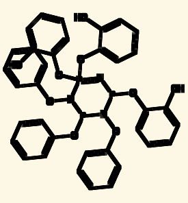 Oc1ccccc1OP1N=P(Oc2ccccc2O)(Oc2ccccc2O)N(Oc2ccccc2)P(Oc2ccccc2)N1Oc1ccccc1